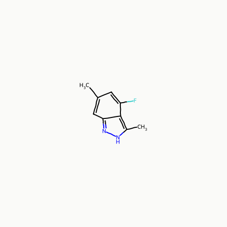 Cc1cc(F)c2c(C)[nH]nc2c1